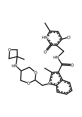 Cc1cc(Cl)c(CNC(=O)c2c(C)n(CC3OCC(NC4(C)COC4)CO3)c3ccccc23)c(=O)[nH]1